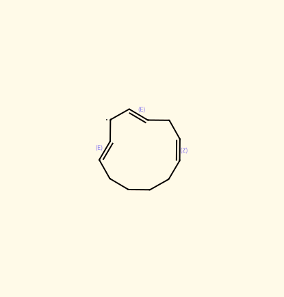 [CH]1/C=C/C/C=C\CCCC/C=C/1